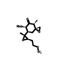 CO[C@@H]1C(=O)[C@H](C)[C@]2(CO2)C[C@H]1[C@@]1(C)O[C@@H]1CCOC(F)(F)F